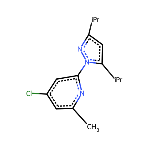 Cc1cc(Cl)cc(-n2nc(C(C)C)cc2C(C)C)n1